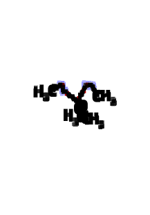 CCCCC/C=C\C/C=C\CCCCCCCCC1(CCCCCCCC/C=C\C/C=C\CCCCC)CC(OC(=O)CCCN(C)C)C1